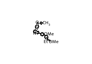 CC[C@H](COC)N1CCC(OC)(c2ccc(-c3cc4c(N5CCN(C(=O)[C@H]6C[C@H](C)C6)CC5)ccnn4c3)cc2)CC1